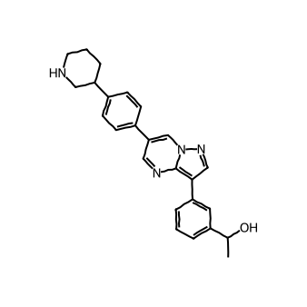 CC(O)c1cccc(-c2cnn3cc(-c4ccc(C5CCCNC5)cc4)cnc23)c1